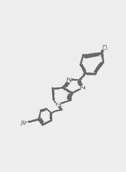 Clc1ccc(-c2nc3ccn(Cc4ccc(Br)cc4)cc-3n2)cc1